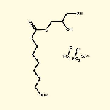 CCCCCCCCCCCCCCCCCC(=O)OCC(O)CO.O=[N+]([O-])[O-].O=[N+]([O-])[O-].[Cu+2]